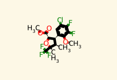 COC(=O)[C@H]1O[C@@](C)(C(F)(F)F)[C@@H](C)[C@H]1c1cc(Cl)c(F)c(F)c1OC